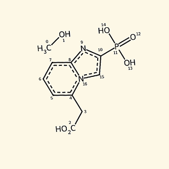 CO.O=C(O)Cc1cccc2nc(P(=O)(O)O)cn12